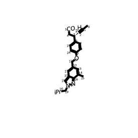 CC#C[C@@H](CC(=O)O)c1ccc(OCc2cc(C)c3nn(CC(C)C)cc3c2)cc1